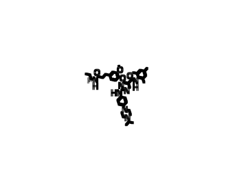 CC[C@@H](C)NC(=O)CCc1ccc(Oc2nc(Nc3ccc(N4CCN(C(C)C)CC4)cc3)ncc2C(=O)Nc2c(C)cc(C)cc2C)c(OC)c1